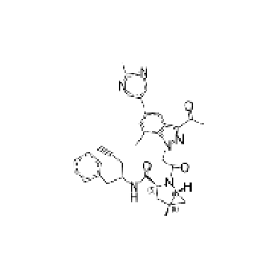 C#CCC(Cc1ccccc1)NC(=O)[C@@H]1C[C@@]2(C)C[C@H]2N1C(=O)Cn1nc(C(C)=O)c2cc(-c3cnc(C)nc3)cc(C)c21